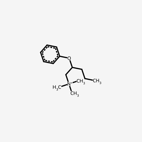 CCCC(C[N+](C)(C)C)Oc1ccccc1